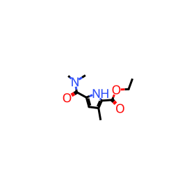 CCOC(=O)c1[nH]c(C(=O)N(C)C)cc1C